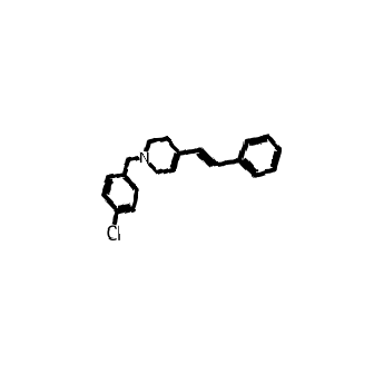 Clc1ccc(CN2CC=C(C=Cc3ccccc3)CC2)cc1